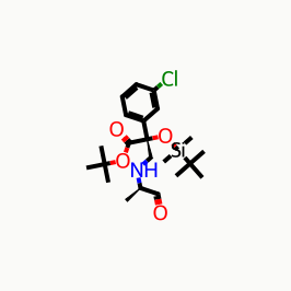 C[C@H](C=O)NC[C@@](O[Si](C)(C)C(C)(C)C)(C(=O)OC(C)(C)C)c1cccc(Cl)c1